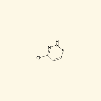 ClC1=NNSC=C1